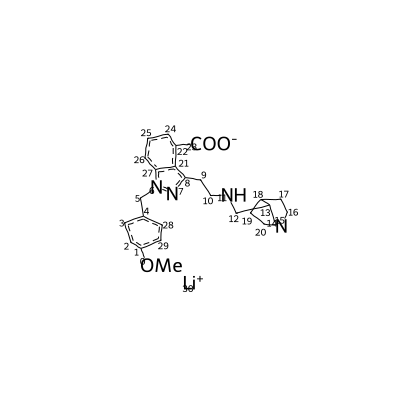 COc1ccc(Cn2nc(CCNCC3CN4CCC3CC4)c3c(C(=O)[O-])cccc32)cc1.[Li+]